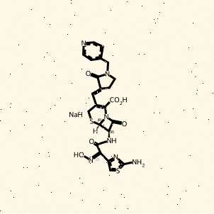 Nc1nc(/C(=N/O)C(=O)N[C@@H]2C(=O)N3C(C(=O)O)=C(C=C4CCN(Cc5ccncc5)C4=O)CS[C@H]23)cs1.[NaH]